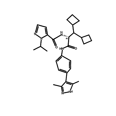 Cc1n[nH]c(C)c1-c1ccc(NC(=O)[C@H](NC(=O)c2ccnn2C(C)C)C(C2CCC2)C2CCC2)cc1